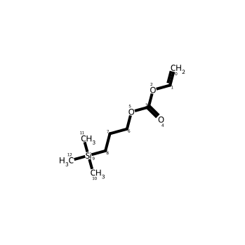 C=COC(=O)OCCC[Si](C)(C)C